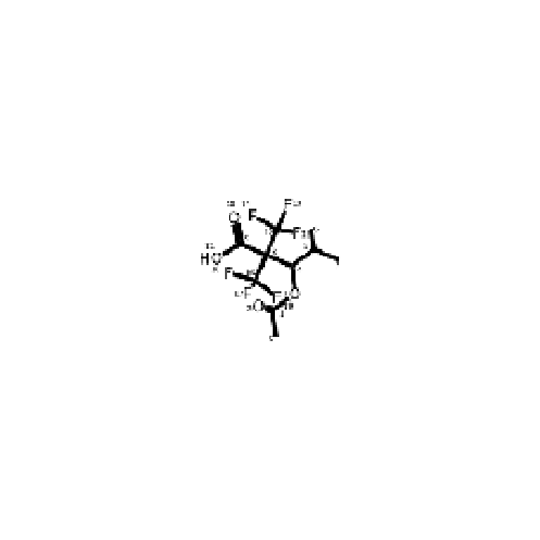 CC(=O)OC(C(C)C)C(C(=O)O)(C(F)(F)F)C(F)(F)F